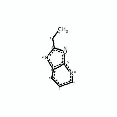 CCc1nc2cccnc2o1